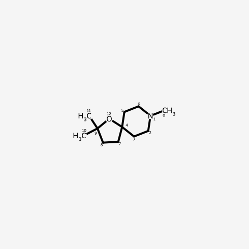 CN1CCC2(CC1)CCC(C)(C)O2